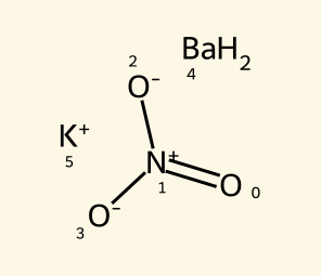 O=[N+]([O-])[O-].[BaH2].[K+]